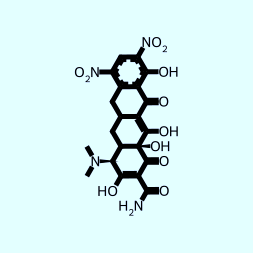 CN(C)[C@@H]1C(O)=C(C(N)=O)C(=O)[C@@]2(O)C(O)=C3C(=O)c4c(O)c([N+](=O)[O-])cc([N+](=O)[O-])c4CC3CC12